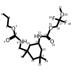 CCCOC(=O)NCC1(C)CC(NC(=O)OCC(F)(F)OC)CC(C)(C)C1